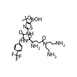 CC1(C)OB(O)c2sc(NC(=O)[C@@H](Cc3ccc(C(F)(F)F)cc3)NC(=O)[C@@H](N)CCC(=O)N(CCN)CCN)nc21